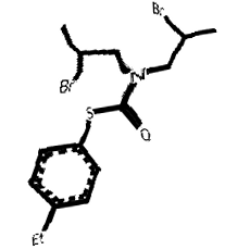 CCc1ccc(SC(=O)N(CC(C)Br)CC(C)Br)cc1